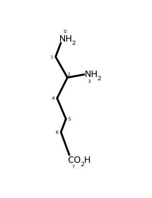 NCC(N)CCCC(=O)O